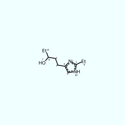 CCc1nc(CCC(O)CC)c[nH]1